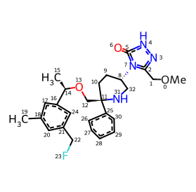 COCc1n[nH]c(=O)n1[C@H]1CC[C@@](CO[C@H](C)c2cc(C)cc(CF)c2)(c2ccccc2)NC1